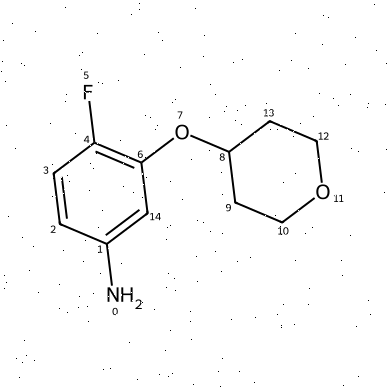 Nc1ccc(F)c(OC2CCOCC2)c1